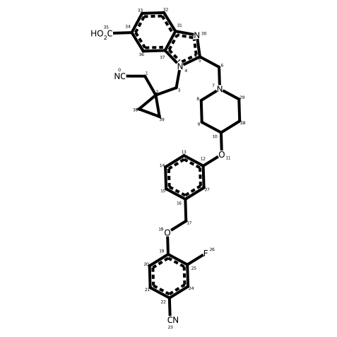 N#CCC1(Cn2c(CN3CCC(Oc4cccc(COc5ccc(C#N)cc5F)c4)CC3)nc3ccc(C(=O)O)cc32)CC1